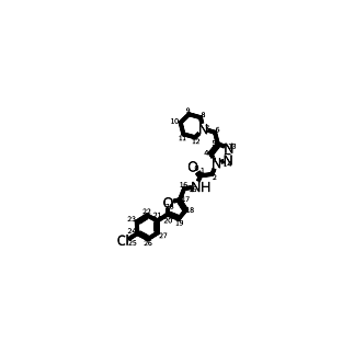 O=C(Cn1cc(CN2CCCCC2)nn1)NCc1ccc(-c2ccc(Cl)cc2)o1